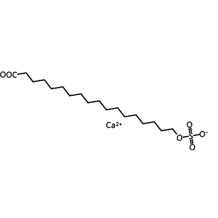 O=C([O-])CCCCCCCCCCCCCCCCCOS(=O)(=O)[O-].[Ca+2]